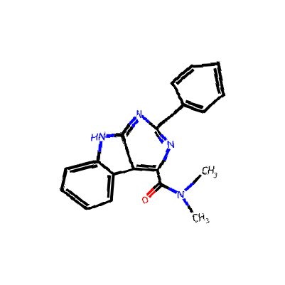 CN(C)C(=O)c1nc(-c2ccccc2)nc2[nH]c3ccccc3c12